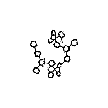 c1ccc(-c2ccc(-c3cc(-c4ccccc4)nc(-c4cccc5c4Oc4ccccc4C54c5ccccc5-c5cc(-c6cccc(-c7cc(-c8ccccc8)nc(-c8cccc9c8Oc8ccccc8C98c9ccccc9-c9ccccc98)n7)c6)ccc54)n3)cc2)cc1